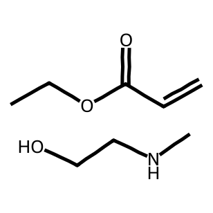 C=CC(=O)OCC.CNCCO